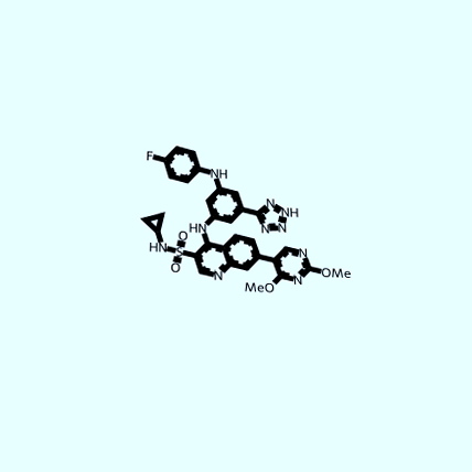 COc1ncc(-c2ccc3c(Nc4cc(Nc5ccc(F)cc5)cc(-c5nn[nH]n5)c4)c(S(=O)(=O)NC4CC4)cnc3c2)c(OC)n1